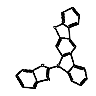 c1ccc2oc(-n3c4ccccc4c4cc5c(cc43)oc3ccccc35)nc2c1